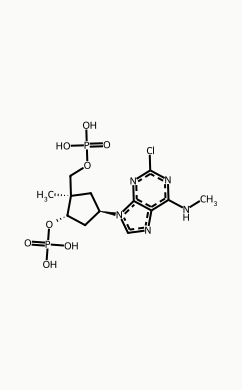 CNc1nc(Cl)nc2c1ncn2[C@H]1C[C@H](OP(=O)(O)O)[C@@](C)(COP(=O)(O)O)C1